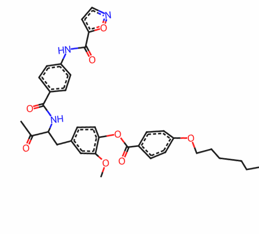 CCCCCCCOc1ccc(C(=O)Oc2ccc(CC(NC(=O)c3ccc(NC(=O)c4ccno4)cc3)C(C)=O)cc2OC)cc1